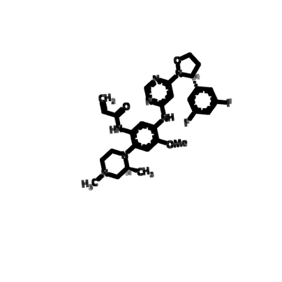 C=CC(=O)Nc1cc(Nc2cc(N3OCC[C@@H]3c3cc(F)cc(F)c3)ncn2)c(OC)cc1N1CCN(C)C[C@@H]1C